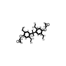 CCc1cc(C(C)(C)c2cc(CC)c(OC3CO3)cc2CC)c(CC)cc1OC1CO1